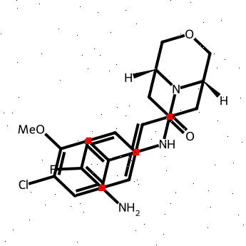 COc1cc(C=CC(=O)N2[C@@H]3COC[C@H]2CC(Nc2ccc(F)cc2)C3)c(N)cc1Cl